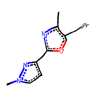 Cc1nc(-c2ccn(C)n2)oc1C(C)C